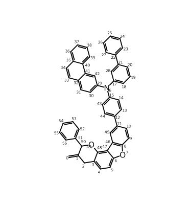 C=C1Cc2ccc3oc4ccc(-c5ccc(N(c6cccc(-c7ccccc7)c6)c6ccc7ccc8ccccc8c7c6)cc5)cc4c3c2OC1c1ccccc1